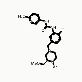 COC[C@H]1CN(Cc2ccc(F)c(NC(=O)Nc3ccc(C)nc3)c2)CCN1C(C)=O